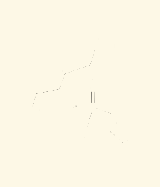 O=C(O)CCCCC(=O)O.O=P([O-])([O-])O.[Na+].[Na+]